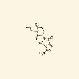 CCCN1C(=O)CCC(N2C(=O)c3csc(N)c3C2=O)C1=O